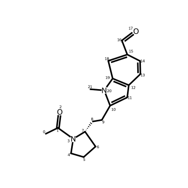 CC(=O)N1CCC[C@H]1CCc1cc2ccc([C]=O)cc2n1C